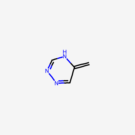 C=C1C=NN=CN1